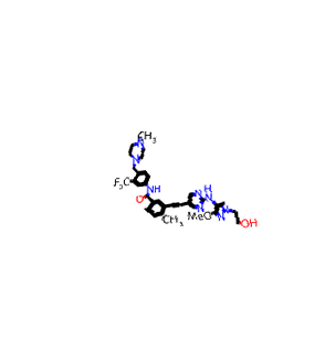 COc1nn(CCO)cc1Nc1ncc(C#Cc2cc(C(=O)Nc3ccc(CN4CCN(C)CC4)c(C(F)(F)F)c3)ccc2C)cn1